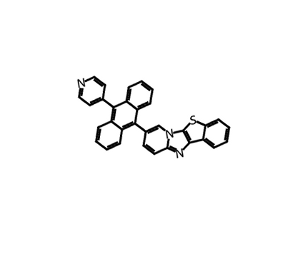 c1ccc2c(c1)sc1c2nc2ccc(-c3c4ccccc4c(-c4ccncc4)c4ccccc34)cn21